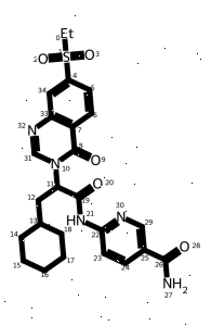 CCS(=O)(=O)c1ccc2c(=O)n(C(CC3CCCCC3)C(=O)Nc3ccc(C(N)=O)cn3)cnc2c1